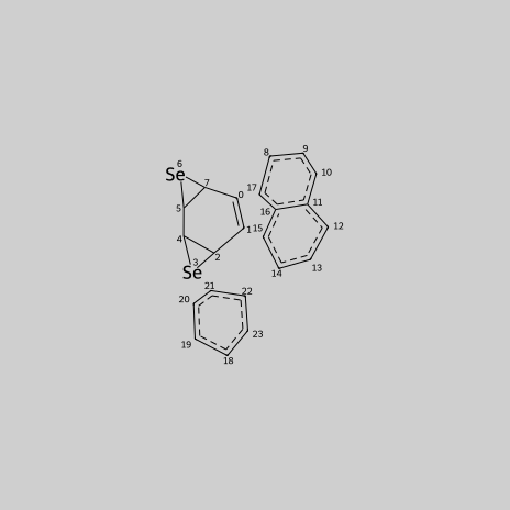 C1=CC2[Se]C2C2[Se]C12.c1ccc2ccccc2c1.c1ccccc1